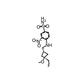 CO[C@]1(CF)C[C@@H](CNc2ccc(S(N)(=O)=O)cc2[N+](=O)[O-])C1